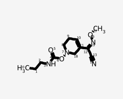 CCCNC(=O)ON1CCC=C(/C(C#N)=N\OC)C1